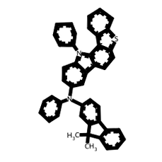 CC1(C)c2ccccc2-c2ccc(N(c3ccccc3)c3ccc4c(c3)c3ccc5sc6ccccc6c5c3n4-c3ccccc3)cc21